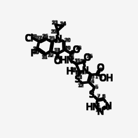 O=C(O)C1=C(CSc2cnn[nH]2)CS[C@H]2C(NC(=O)c3cn(C4CC4)c4cc(Cl)c(F)cc4c3=O)C(=O)N12